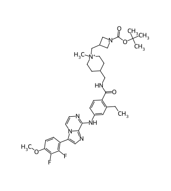 CCc1cc(Nc2nccn3c(-c4ccc(OC)c(F)c4F)cnc23)ccc1C(=O)NCC1CC[N+](C)(CC2CN(C(=O)OC(C)(C)C)C2)CC1